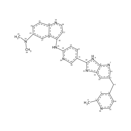 Cc1cc(Cc2cnc3[nH]c(-c4ccc(Nc5ccnc6ccc(N(C)C)cc56)nc4)nc3c2)ccn1